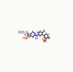 CCOC(=O)N=[SH](C)(O)Cc1ccnc(Nc2cc(-c3ccc(F)c4ccoc34)c(F)cn2)c1